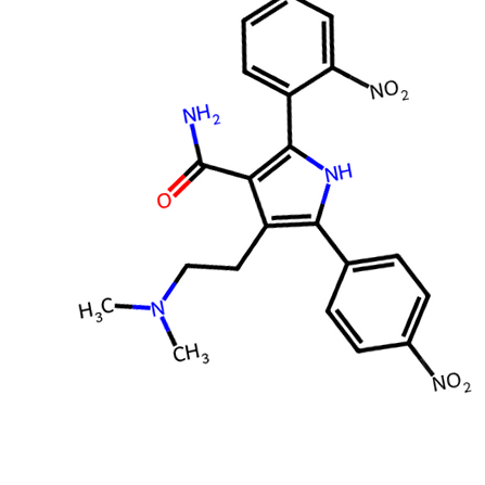 CN(C)CCc1c(-c2ccc([N+](=O)[O-])cc2)[nH]c(-c2ccccc2[N+](=O)[O-])c1C(N)=O